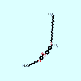 CCCCCCCCCCCCCCCCCCCCOC(C)c1ccc(-c2ccc(OC(=O)c3ccc(OCCCCCCCCC)cc3)cc2)cc1